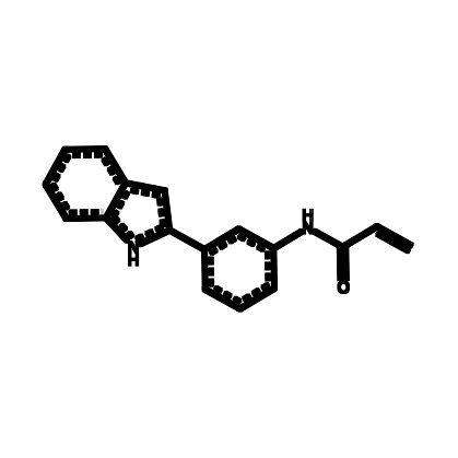 C=CC(=O)Nc1cccc(-c2cc3ccccc3[nH]2)c1